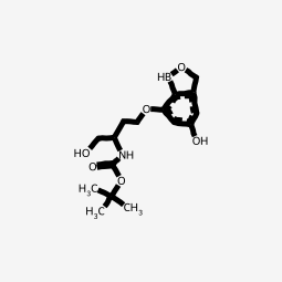 CC(C)(C)OC(=O)NC(CO)CCOc1cc(O)cc2c1BOC2